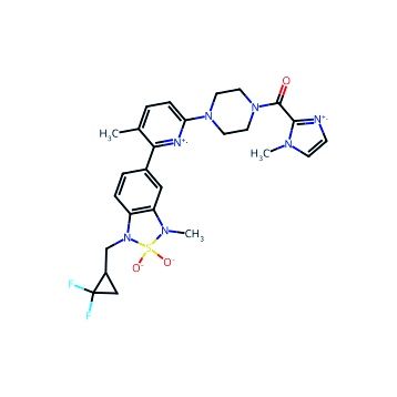 CC1=CC=C(N2CCN(C(=O)C3=[N+]C=CN3C)CC2)[N+]=C1c1ccc2c(c1)N(C)S([O-])([O-])N2CC1CC1(F)F